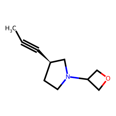 CC#C[C@@H]1CCN(C2COC2)C1